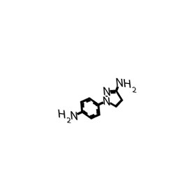 NC1=NN(c2ccc(N)cc2)CC1